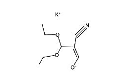 CCOC(OCC)/C(C#N)=C\[O-].[K+]